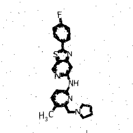 Cc1ccc(Nc2cc3nc(-c4ccc(F)cc4)sc3cn2)nc1CN1CCCC1